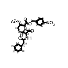 CC(=O)SC1=C(C(=O)OCc2ccc([N+](=O)[O-])cc2)N2C(=O)C(NC(=O)Cc3ccccc3)[C@H]2SC1